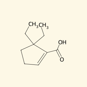 CCC1(CC)CCC=C1C(=O)O